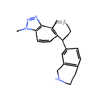 CCOC(=O)CC(c1ccc2c(c1)CNCC2)c1ccc2c(nnn2C)c1C